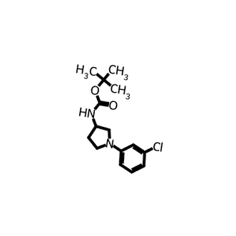 CC(C)(C)OC(=O)NC1CCN(c2cccc(Cl)c2)C1